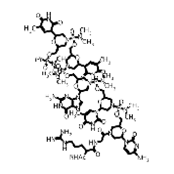 CC(=O)NC(CCCNC(=N)N)C(=O)NCC(=O)N1CC(COP(=O)(N(C)C)N2CC(COP(=O)(N(C)C)N3CC(COP(=O)(N(C)C)N4CC(COP(=O)(N(C)C)N5CC(COP(=O)(C(C)C)N(C)C)OC(C6C=C(C)C(=O)NC6=O)C5)OC(C5C=C(C)C(=O)NC5=O)C4)OC(n4cnc5c(=O)[nH]c(N)nc54)C3)OC(n3cc(C)c(=O)[nH]c3=O)C2)OC(n2ccc(N)nc2=O)C1